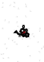 O=C1CC[C@@]2(O)[C@H]3Cc4cccc5c4[C@@]2(CCN3CC2CC2)[C@H]1O5